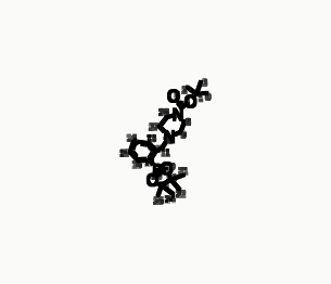 CC(C)(C)OC(=O)N1CCN(Cc2ccccc2B2OC(C)(C)C(C)(C)O2)CC1